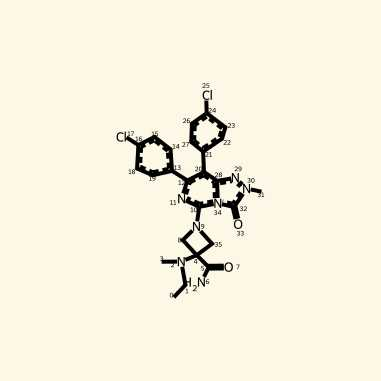 CCN(C)C1(C(N)=O)CN(c2nc(-c3ccc(Cl)cc3)c(-c3ccc(Cl)cc3)c3nn(C)c(=O)n23)C1